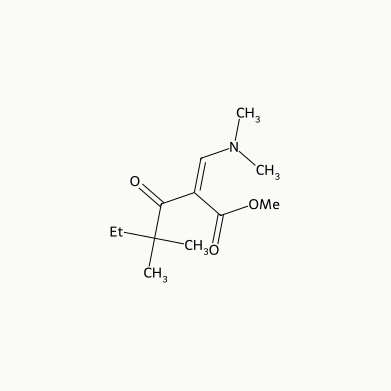 CCC(C)(C)C(=O)C(=CN(C)C)C(=O)OC